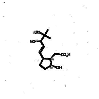 CCCCC(C)(C)C(O)C=CC1CC[C@H](O)[C@@H]1CC(=O)O